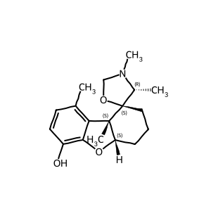 Cc1ccc(O)c2c1[C@@]1(C)[C@H](CCC[C@]13OCN(C)[C@@H]3C)O2